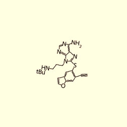 C#Cc1cc2occc2cc1Sc1nc2c(N)ncnc2n1CCCNC(C)(C)C